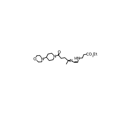 CCOC(=O)CCN/C=C\N=C(/C)CCC(=O)N1CCC(N2CCOCC2)CC1